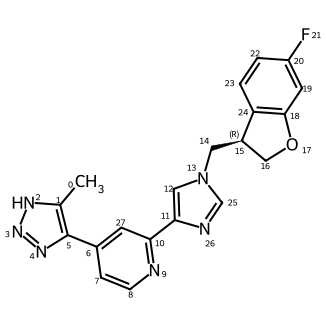 Cc1[nH]nnc1-c1ccnc(-c2cn(C[C@@H]3COc4cc(F)ccc43)cn2)c1